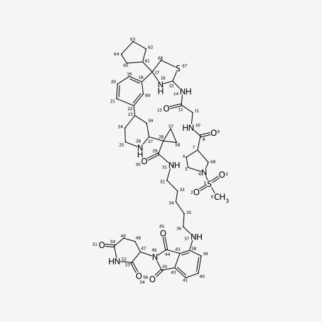 CS(=O)(=O)N1CCC(C(=O)NCC(=O)NC2NC(c3cccc(C4CCNC(C5(C(=O)NCCCCCNc6cccc7c6C(=O)N(C6CCC(=O)NC6=O)C7=O)CC5)C4)c3)(C3CCCC3)CS2)C1